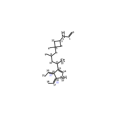 C=CNC1CC(C)(CC(C)CC(CC)c2c[nH]c(=C/C)/c2=C\C)C1